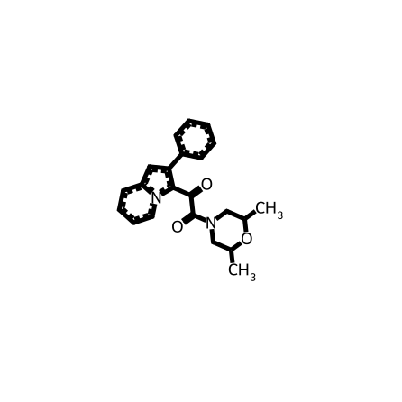 CC1CN(C(=O)C(=O)c2c(-c3ccccc3)cc3ccccn23)CC(C)O1